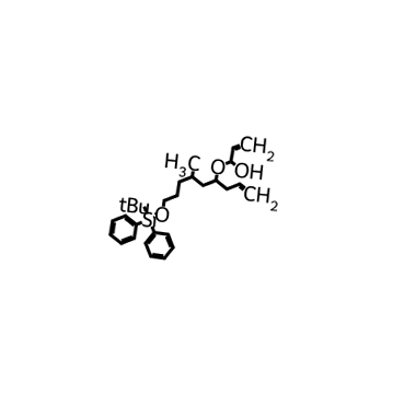 C=CCC(CC(C)CCCO[Si](c1ccccc1)(c1ccccc1)C(C)(C)C)OC(O)C=C